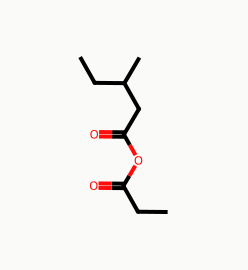 CCC(=O)OC(=O)CC(C)CC